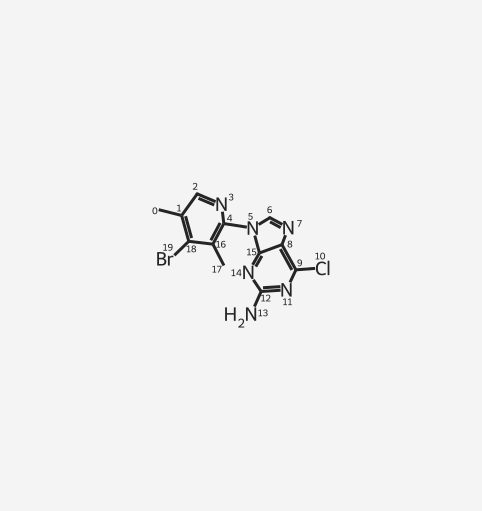 Cc1cnc(-n2cnc3c(Cl)nc(N)nc32)c(C)c1Br